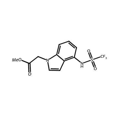 COC(=O)Cn1ccc2c(NS(=O)(=O)C(F)(F)F)cccc21